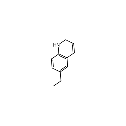 CCc1ccc2c(c1)C=CCN2